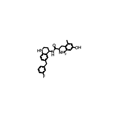 Cc1cc(O)cc(C)c1CC(N)C(=O)NC1CCNc2ccc(Cc3cccc(F)c3)cc21